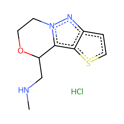 CNCC1OCCn2nc3ccsc3c21.Cl